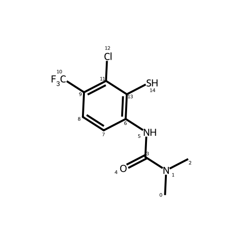 CN(C)C(=O)Nc1ccc(C(F)(F)F)c(Cl)c1S